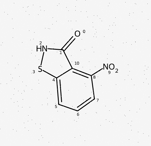 O=c1[nH]sc2cccc([N+](=O)[O-])c12